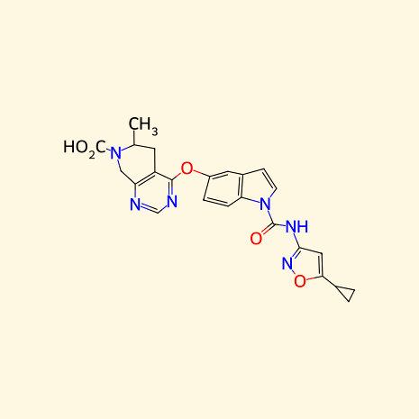 CC1Cc2c(ncnc2Oc2ccc3c(ccn3C(=O)Nc3cc(C4CC4)on3)c2)CN1C(=O)O